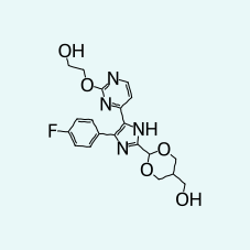 OCCOc1nccc(-c2[nH]c(C3OCC(CO)CO3)nc2-c2ccc(F)cc2)n1